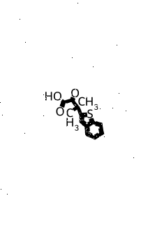 CC(C)(C(=O)C(=O)O)c1cc2ccccc2s1